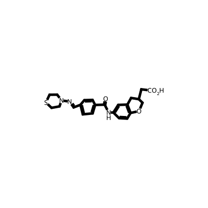 O=C(O)CC1COc2ccc(NC(=O)c3ccc(C=NN4CCSCC4)cc3)cc2C1